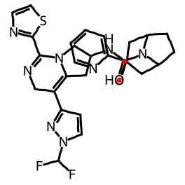 O=C(NC1CC2=C(c3ccn(C(F)F)n3)CN=C(c3nccs3)N2C1)N1C2CCC1CC(O)(c1ccccn1)C2